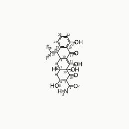 NC(=O)C1=C(O)C[C@@H]2CC3C(=C(O)[C@]2(O)C1=O)C(=O)c1c(O)cccc1C3=C(F)F